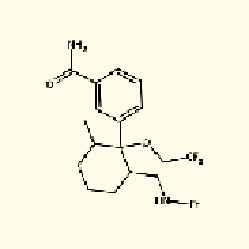 CCNCC1CCCC(C)C1(OCC(F)(F)F)c1cccc(C(N)=O)c1